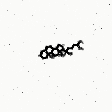 CC(C)CCC[C@](C)(O)C1CCC2C3CC=C4C=CCC[C@]4(C)C3CC[C@@]21C